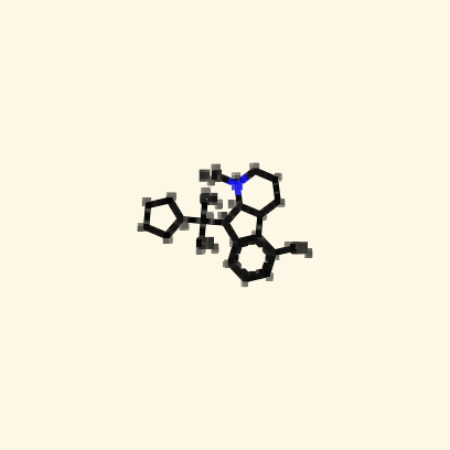 Cc1cccc2c1C1CCCN(C)C1C2C(C)(C)C1CCCC1